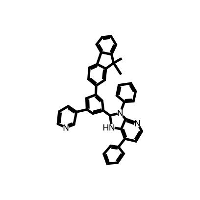 CC1(C)c2ccccc2-c2ccc(-c3cc(-c4cccnc4)cc(C4Nc5c(-c6ccccc6)ccnc5N4c4ccccc4)c3)cc21